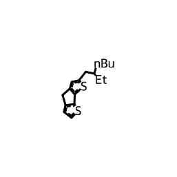 CCCCC(CC)Cc1cc2c(s1)-c1sccc1C2